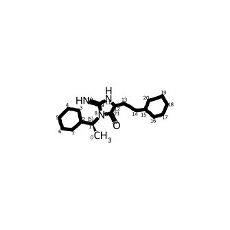 C[C@@H](C1CCCCC1)N1C(=N)NC(CCC2CCCCC2)C1=O